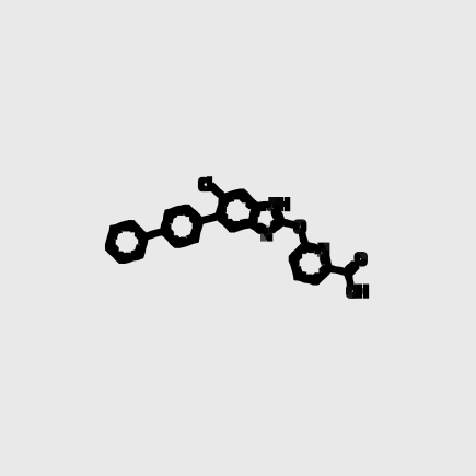 O=C(O)c1cccc(Oc2nc3cc(-c4ccc(-c5ccccc5)cc4)c(Cl)cc3[nH]2)n1